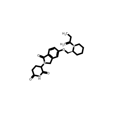 C=C(CC)N1CCCC[C@H]1COc1ccc2c(c1)CN(C1CCC(=O)NC1=O)C2=O